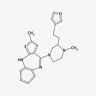 Cc1cc2c(s1)Nc1ccccc1N=C2N1CCN(C)C(CCc2ccoc2)C1